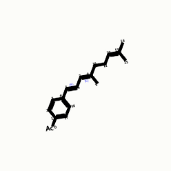 CC(=O)c1ccc(/C=C/C=C(\C)CCC=C(C)C)cc1